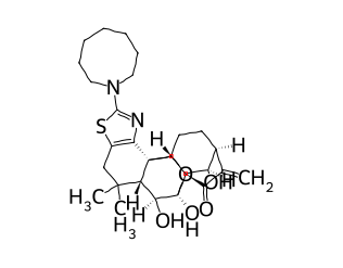 C=C1C(=O)[C@]23[C@H](O)[C@H]1CC[C@H]2[C@@]12CO[C@@]3(O)[C@@H](O)[C@@H]1C(C)(C)Cc1sc(N3CCCCCCC3)nc12